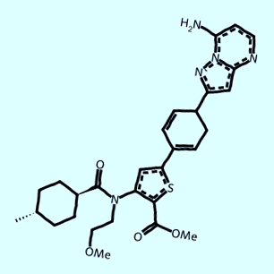 COCCN(c1cc(C2=CCC(c3cc4nccc(N)n4n3)C=C2)sc1C(=O)OC)C(=O)[C@H]1CC[C@H](C)CC1